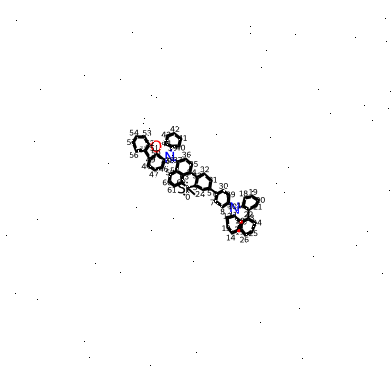 C[Si]1(C)c2cc(-c3ccc(N(c4ccccc4)c4ccccc4-c4ccccc4)cc3)ccc2-c2ccc(N(c3ccccc3)c3cccc4c3oc3ccccc34)c3cccc1c23